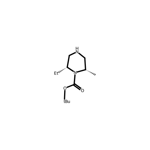 CC[C@@H]1CNC[C@H](C)N1C(=O)OC(C)(C)C